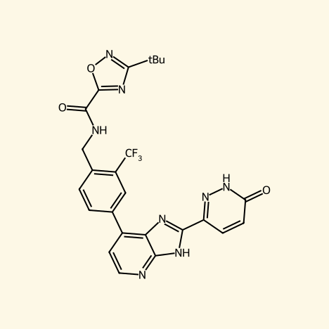 CC(C)(C)c1noc(C(=O)NCc2ccc(-c3ccnc4[nH]c(-c5ccc(=O)[nH]n5)nc34)cc2C(F)(F)F)n1